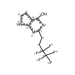 Oc1nc(CCC(F)(F)C(F)(F)F)nc2[nH]ccc12